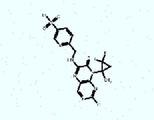 CCS(=O)(=O)c1ccc(CNc2nc3cnc(Cl)nc3n(C3(C)CC3(F)F)c2=O)nc1